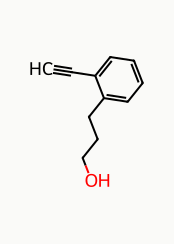 C#Cc1ccccc1CCCO